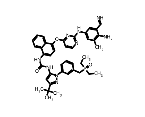 CCP(=O)(CC)Cc1cccc(-n2nc(C(C)(C)C)cc2NC(=O)Nc2ccc(Oc3ccnc(Nc4cc(C)c(N)c(C=N)c4)n3)c3ccccc23)c1